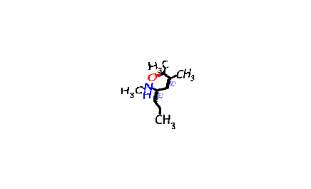 CC/C=C(\C=C(\C)C(C)=O)NC